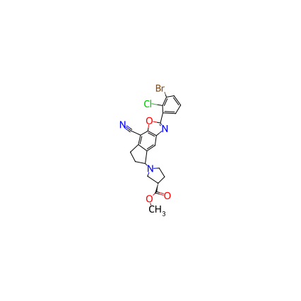 COC(=O)[C@@H]1CCN(C2CCc3c2cc2nc(-c4cccc(Br)c4Cl)oc2c3C#N)C1